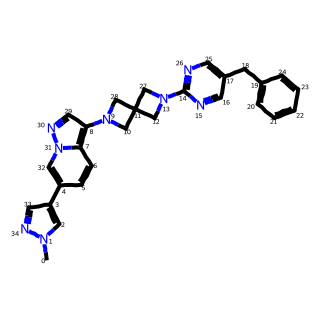 Cn1cc(-c2ccc3c(N4CC5(CN(c6ncc(Cc7ccccc7)cn6)C5)C4)cnn3c2)cn1